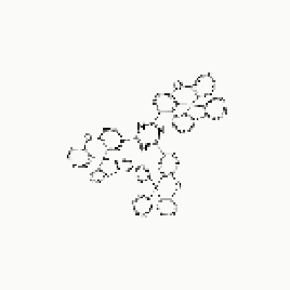 c1ccc2c(c1)Oc1ccc(-c3nc(-c4ccc5c(c4)C4(c6ccccc6O5)c5ccccc5-c5ccccc54)nc(-c4ccc5c(c4)C4(c6ccccc6O5)c5ccccc5-c5ccccc54)n3)cc1C21c2ccccc2-c2ccccc21